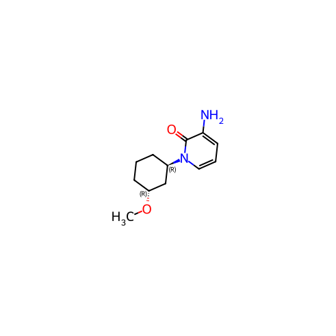 CO[C@@H]1CCC[C@@H](n2cccc(N)c2=O)C1